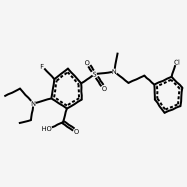 CCN(CC)c1c(F)cc(S(=O)(=O)N(C)CCc2ccccc2Cl)cc1C(=O)O